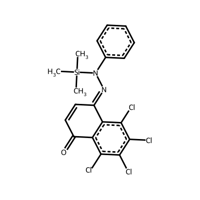 C[Si](C)(C)N(N=C1C=CC(=O)c2c(Cl)c(Cl)c(Cl)c(Cl)c21)c1ccccc1